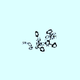 COC(=O)c1nc(-c2ccccc2)c(NS(=O)(=O)c2ccccc2)o1.O=C(O)c1nc(-c2ccccc2)c(NS(=O)(=O)c2ccccc2)o1